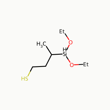 CCO[SiH](OCC)C(C)CCS